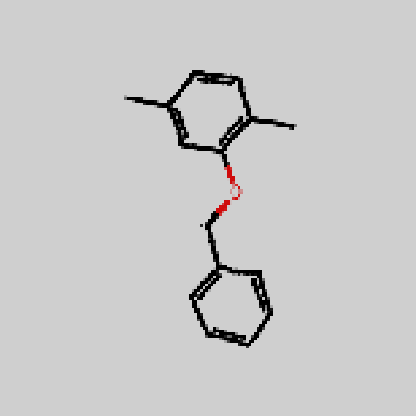 Cc1ccc(C)c(O[CH]c2ccccc2)c1